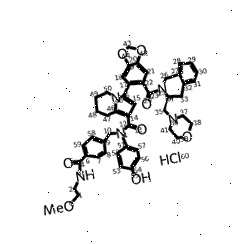 COCCNC(=O)c1ccc(CN(C(=O)c2cc(-c3cc4c(cc3C(=O)N3Cc5ccccc5C[C@H]3CN3CCOCC3)OCO4)n3c2CCCC3)c2ccc(O)cc2)cc1.Cl